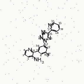 Nc1cccnc1-c1cc(F)cc(-n2nnc(-c3ccccn3)n2)c1